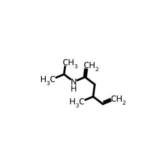 C=CC(C)CC(=C)NC(C)C